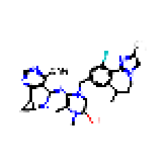 C=N/C(=N\C1=C(C)N(C)C(O)CN1Cc1cc(F)c2c(c1)C(C)CCn1cc(C(F)(F)F)nc1-2)c1c(OC)ncnc1C1CC1